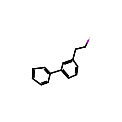 ICCc1cccc(-c2ccccc2)c1